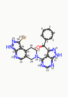 O=C(c1ccccc1)c1n[nH]c2ncnc(N3CCc4c(cnc5[nH]nc(Br)c45)C3)c12